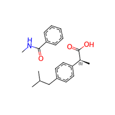 CC(C)Cc1ccc([C@H](C)C(=O)O)cc1.CNC(=O)c1ccccc1